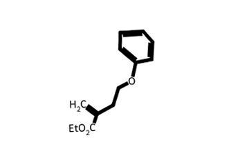 C=C(CCOc1ccccc1)C(=O)OCC